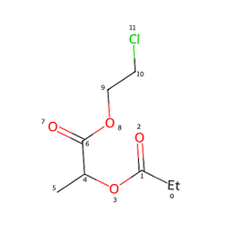 [CH2]CC(=O)OC(C)C(=O)OCCCl